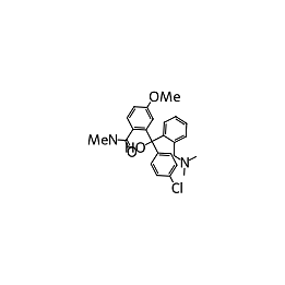 CNC(=O)c1ccc(OC)cc1C(O)(c1ccc(Cl)cc1)c1ccccc1CN(C)C